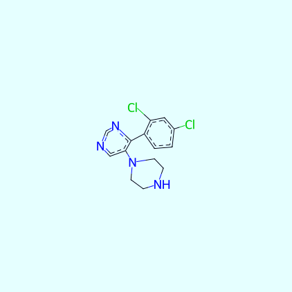 Clc1ccc(-c2ncncc2N2CCNCC2)c(Cl)c1